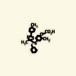 Cc1ccc(-c2nc(C)c([C@@H](Cc3ccccc3)Sc3ccc(OCC(=O)O)c(C)c3)s2)cc1